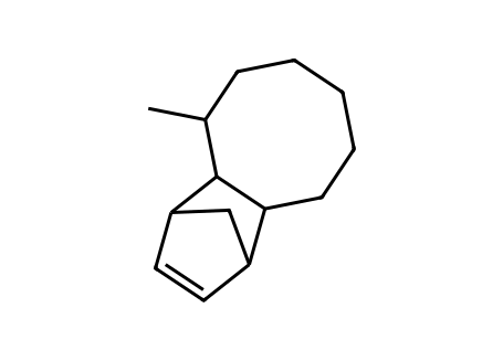 CC1CCCCCC2C3C=CC(C3)C12